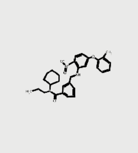 CCCN(C(=O)c1cccc(CNc2cc(Oc3ccccc3C)ccc2[N+](=O)[O-])c1)C1CCCCC1